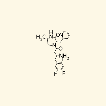 C[C@@H]1CCN(C(=O)CC(N)Cc2cc(F)c(F)cc2F)[C@H](Cc2ccccn2)C(=O)N1